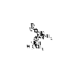 CN(C)C(=O)NC1CCCN(c2cnc(C(N)=O)c(Nc3ccc(C(=O)N4CCCC4)cc3)n2)C1